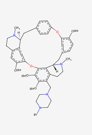 COc1ccc2cc1Oc1ccc(cc1)C[C@H]1c3cc(c(OC)cc3CCN1C)Oc1c(OC)c(OC)c(CN3CCN(C(C)C)CC3)c3c1[C@H](C2)N(C)CC3